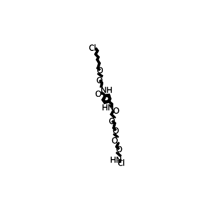 O=C(CCOCCOCCOCCOCCNCl)NCc1ccc(C(=O)NCCOCCOCCCCCCCl)cc1